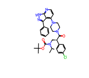 CC(C)N(C[C@@H](C(=O)N1CCN(c2ccnc3[nH]nc(-c4ccccc4)c23)CC1)c1ccc(Cl)cc1)C(=O)OC(C)(C)C